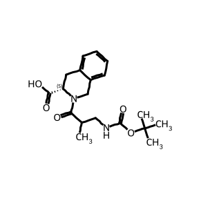 CC(CNC(=O)OC(C)(C)C)C(=O)N1Cc2ccccc2C[C@H]1C(=O)O